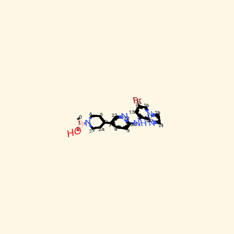 CB(O)N1CCC(c2ccc(Nc3cc(Br)cn4ccnc34)nc2)CC1